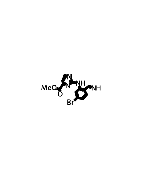 COC(=O)c1ccnc(Nc2cc(Br)ccc2C=N)n1